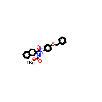 CC(C)(C)OC(=O)NC1(C(=O)Nc2ccc(SCc3ccccc3)cc2)CCc2ccccc2C1